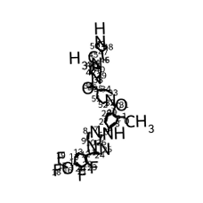 CCc1cc(Nc2nccn3c(-c4ccc(OC(F)F)c(F)c4F)cnc23)ccc1C(=O)N1CCC(C(=O)N2CC3CC2C[N+]3(C)CC2CNC2)CC1